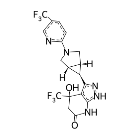 O=C1CC(O)(C(F)(F)F)c2c([C@H]3[C@@H]4CN(c5ccc(C(F)(F)F)cn5)C[C@@H]43)n[nH]c2N1